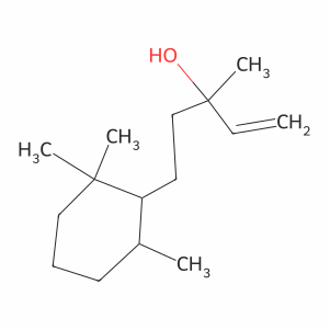 C=CC(C)(O)CCC1C(C)CCCC1(C)C